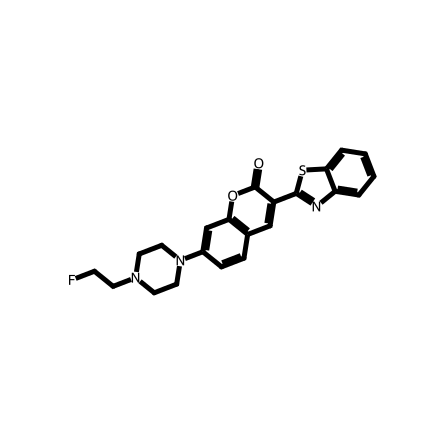 O=c1oc2cc(N3CCN(CCF)CC3)ccc2cc1-c1nc2ccccc2s1